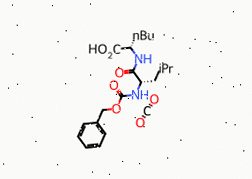 CCCC[C@H](NC(=O)[C@H](CC(C)C)NC(=O)OCc1ccccc1)C(=O)O.O=C=O